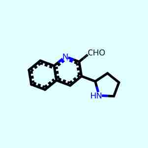 O=Cc1nc2ccccc2cc1C1CCCN1